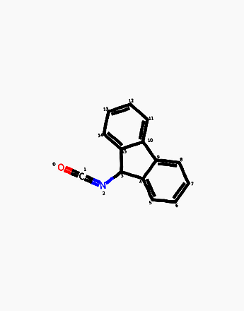 O=C=NC1c2ccccc2-c2ccccc21